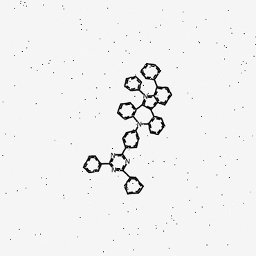 c1ccc(-c2nc(-c3ccccc3)nc(-c3ccc(N4c5ccccc5-c5c(n(-c6ccccc6)c6c(-c7ccccc7)cccc56)-c5ccccc54)cc3)n2)cc1